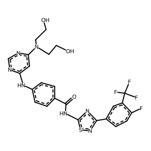 O=C(Nc1nc(-c2ccc(F)c(C(F)(F)F)c2)ns1)c1ccc(Nc2cc(N(CCO)CCO)ncn2)cc1